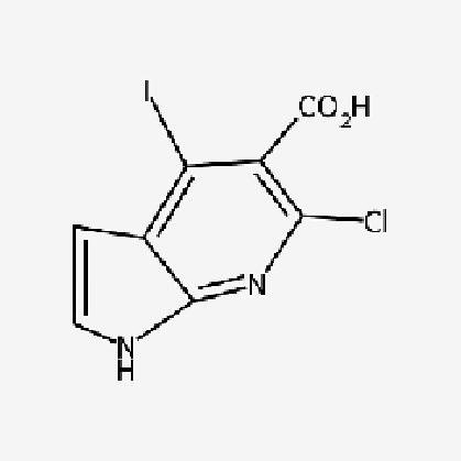 O=C(O)c1c(Cl)nc2[nH]ccc2c1I